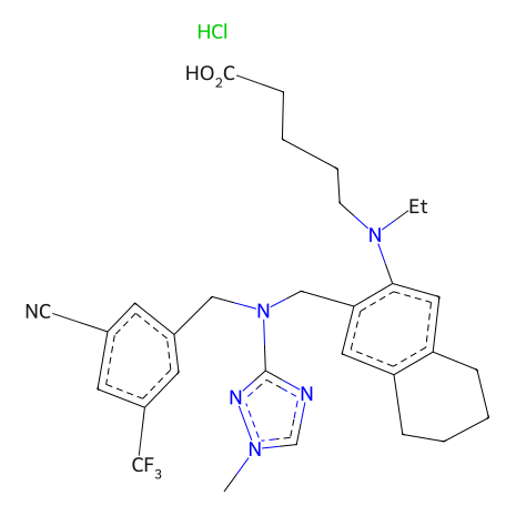 CCN(CCCCC(=O)O)c1cc2c(cc1CN(Cc1cc(C#N)cc(C(F)(F)F)c1)c1ncn(C)n1)CCCC2.Cl